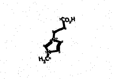 Cn1cc[n+](CCC(=O)O)c1